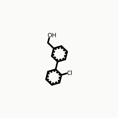 OCc1cccc(-c2ccccc2Cl)c1